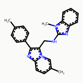 Cc1ccc(-c2nc3ccc(C)cn3c2CNc2nc3ccccc3n2C)cc1